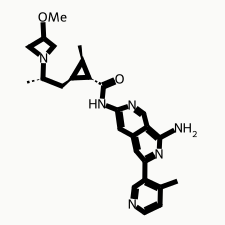 COC1CN([C@@H](C)C[C@H]2[C@@H](C)[C@@H]2C(=O)Nc2cc3cc(-c4cnccc4C)nc(N)c3cn2)C1